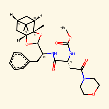 CC(C)(C)OC(=O)N[C@H](CC(=O)N1CCOCC1)C(=O)N[C@@H](Cc1ccccc1)B1O[C@@H]2C[C@@H]3C[C@@H](C3(C)C)[C@]2(C)O1